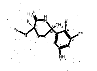 C=C1N[C@](C)(c2cc(N)cc(F)c2F)CC[C@@]1(F)CF